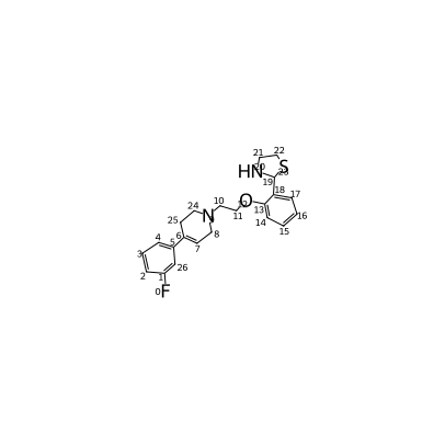 Fc1cccc(C2=CCN(CCOc3ccccc3C3NCCS3)CC2)c1